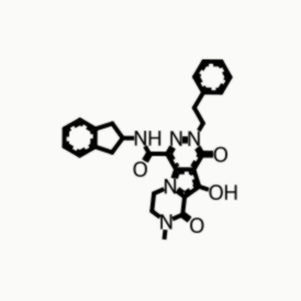 CN1CCn2c(c(O)c3c(=O)n(CCc4ccccc4)nc(C(=O)NC4Cc5ccccc5C4)c32)C1=O